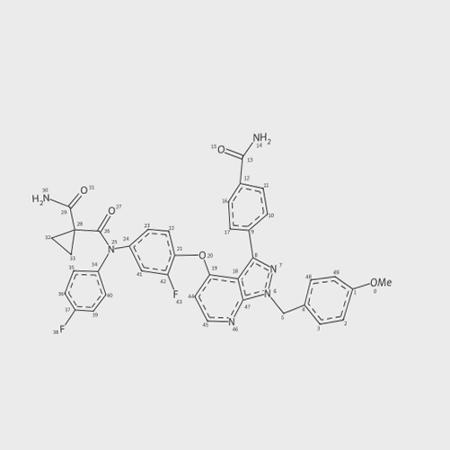 COc1ccc(Cn2nc(-c3ccc(C(N)=O)cc3)c3c(Oc4ccc(N(C(=O)C5(C(N)=O)CC5)c5ccc(F)cc5)cc4F)ccnc32)cc1